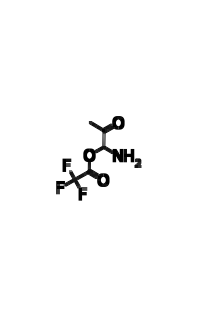 CC(=O)C(N)OC(=O)C(F)(F)F